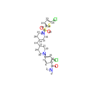 CN(C)C(=O)c1ccc(N2CCC(CC3CCN(S(=O)(=O)c4ccc(Cl)s4)CC3)CC2)cc1Cl